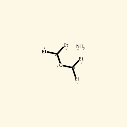 CCC(CC)OC(CC)CC.N